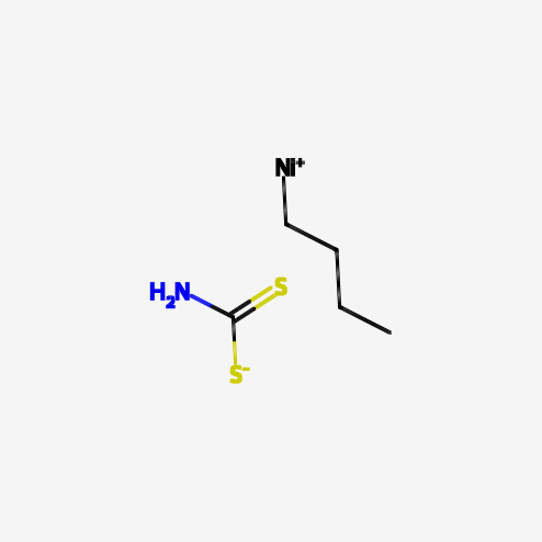 CCC[CH2][Ni+].NC(=S)[S-]